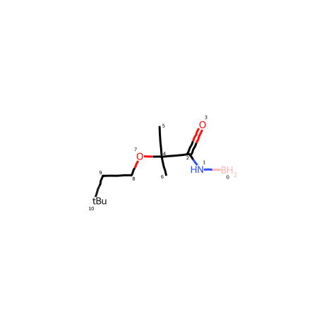 BNC(=O)C(C)(C)OCCC(C)(C)C